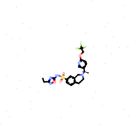 CCc1noc(NS(=O)(=O)c2ccc3c(c2)CN([C@H](C)c2ccc(OCC(F)(F)F)nc2)CC3)n1